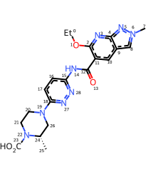 CCOc1nc2nn(C)cc2cc1C(=O)Nc1ccc(N2CCN(C(=O)O)[C@@H](C)C2)nn1